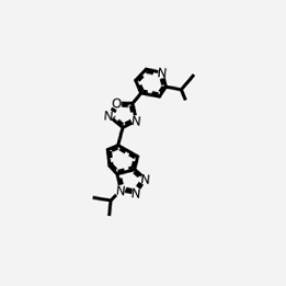 CC(C)c1cc(-c2nc(-c3ccc4c(c3)nnn4C(C)C)no2)ccn1